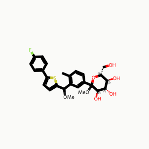 COC(c1ccc(-c2ccc(F)cc2)s1)c1cc(C2(OC)O[C@H](CO)[C@@H](O)[C@H](O)[C@H]2O)ccc1C